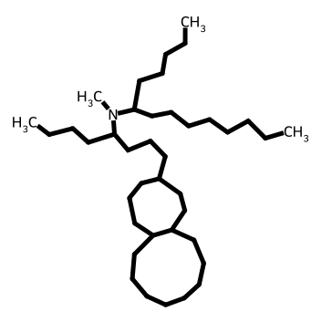 CCCCCCCCC(CCCCC)N(C)C(CCCC)CCCC1CCCC2CCCCCCCCC2CC1